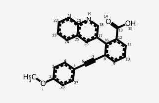 COc1ccc(C#Cc2cccc(C(=O)O)c2-c2cnc3ccccc3c2)cc1